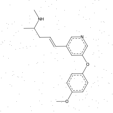 CNC(C)CC=Cc1cncc(Oc2ccc(OC)cc2)c1